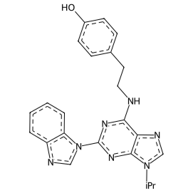 CC(C)n1cnc2c(NCCc3ccc(O)cc3)nc(-n3cnc4ccccc43)nc21